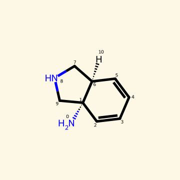 N[C@@]12C=CC=C[C@@H]1CNC2